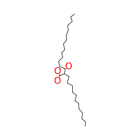 CCCCCCCCCCCCC1OC(=O)C(CCCCCCCCCCCC)C1=O